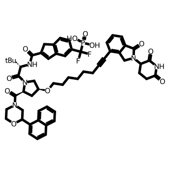 CC(C)(C)[C@H](NC(=O)C1=Cc2cc(C(F)(F)P(=O)(O)O)ccc2C1)C(=O)N1C[C@@H](OCCCCCCC#Cc2cccc3c2CN(C2CCC(=O)NC2=O)C3=O)C[C@H]1C(=O)N1CCOC(c2cccc3ccccc23)C1